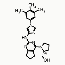 Cc1cc(-n2cnc(Nc3nc4c(c(N5CCC[C@@H]5CO)n3)CCC4)c2)cc(C)c1C